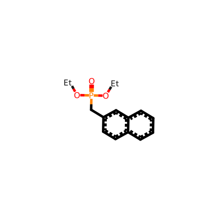 CCOP(=O)(Cc1ccc2ccccc2c1)OCC